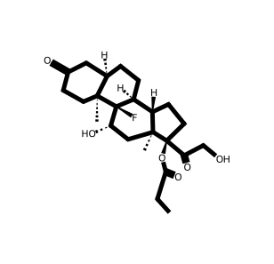 CCC(=O)O[C@]1(C(=O)CO)CC[C@H]2[C@@H]3CC[C@@H]4CC(=O)CC[C@]4(C)[C@@]3(F)[C@@H](O)C[C@@]21C